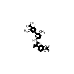 CC(=O)c1ccc(-c2nc(NC(=O)C3(c4ccc5c(c4)OC(F)(F)O5)CC3)ccc2C)cc1C